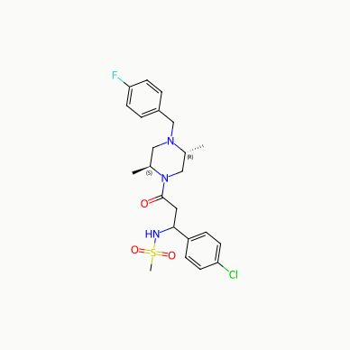 C[C@@H]1CN(C(=O)CC(NS(C)(=O)=O)c2ccc(Cl)cc2)[C@@H](C)CN1Cc1ccc(F)cc1